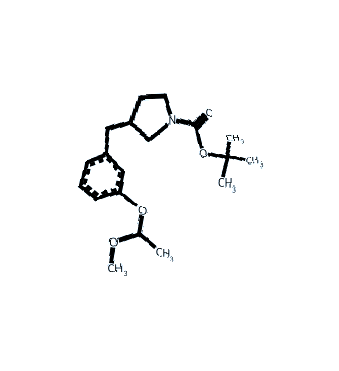 COC(C)Oc1cccc(CC2CCN(C(=O)OC(C)(C)C)C2)c1